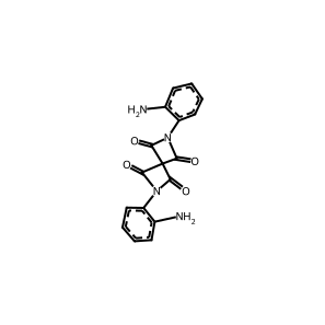 Nc1ccccc1N1C(=O)C2(C1=O)C(=O)N(c1ccccc1N)C2=O